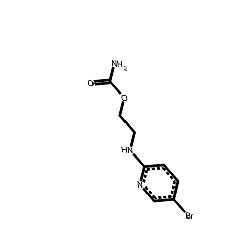 NC(=O)OCCNc1ccc(Br)cn1